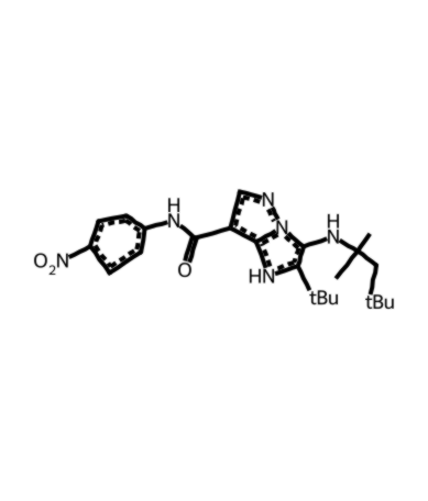 CC(C)(C)CC(C)(C)Nc1c(C(C)(C)C)[nH]c2c(C(=O)Nc3ccc([N+](=O)[O-])cc3)cnn12